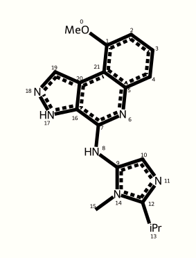 COc1cccc2nc(Nc3cnc(C(C)C)n3C)c3[nH]ncc3c12